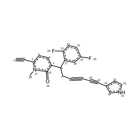 C#Cc1ccc(C(CC#CC#Cc2cc[nH]c2)c2cc(F)ccc2F)c(=O)n1C